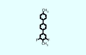 Cc1ccc(-c2ccc(-c3cc(F)c(C)c(F)c3)cc2)cc1